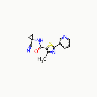 Cc1nc(-c2cccnc2)sc1C(=O)NC1(C#N)CC1